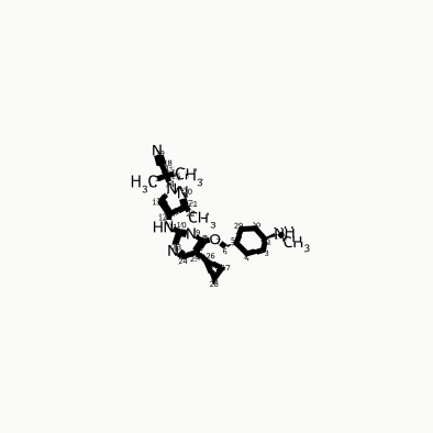 CN[C@H]1CC[C@H](COc2nc(Nc3cn(C(C)(C)C#N)nc3C)ncc2C2CC2)CC1